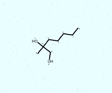 CCCCCC(C)(O)CO